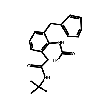 CC(C)(C)NC(=O)Cc1cccc(Cc2ccccc2)c1NC(=O)S